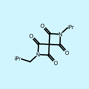 CC(C)CN1C(=O)C2(C1=O)C(=O)N(C(C)C)C2=O